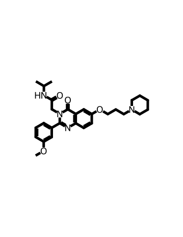 COc1cccc(-c2nc3ccc(OCCCN4CCCCC4)cc3c(=O)n2CC(=O)NC(C)C)c1